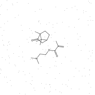 C=C(C)C(=O)OCCN(C)C.CC12CCC(CC1=O)C2(C)C